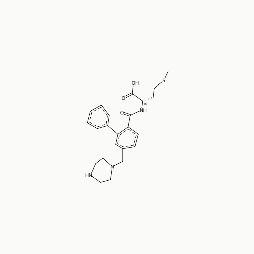 CSCC[C@H](NC(=O)c1ccc(CN2CCNCC2)cc1-c1ccccc1)C(=O)O